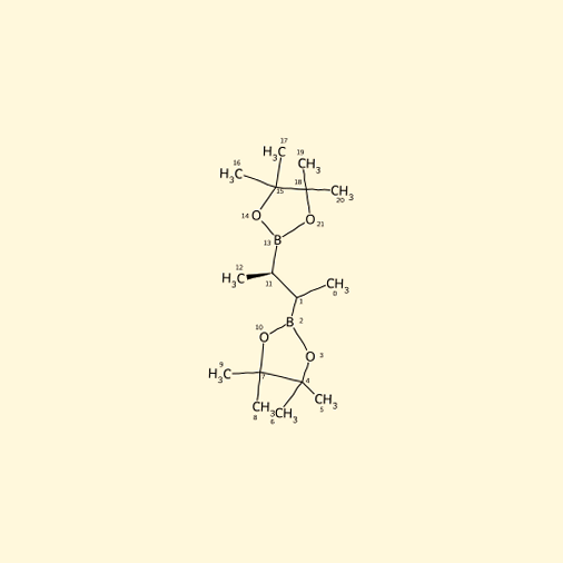 CC(B1OC(C)(C)C(C)(C)O1)[C@@H](C)B1OC(C)(C)C(C)(C)O1